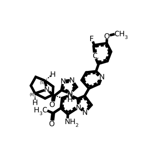 COc1ccc(-c2ccc(-c3cnn4c(N)c(C(C)=O)c([C@@H]5C[C@H]6CC[C@@H](C5)N6C(=O)c5nnc[nH]5)nc34)cn2)cc1F